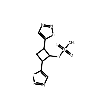 CS(=O)(=O)OC1C(c2cnno2)CC1c1cnno1